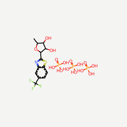 CC1OC(c2nc3cc(C(F)(F)F)ccc3s2)C(O)C1O.O=P(O)(O)O.O=P(O)(O)O.O=P(O)(O)O